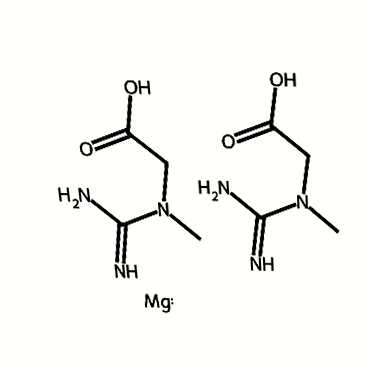 CN(CC(=O)O)C(=N)N.CN(CC(=O)O)C(=N)N.[Mg]